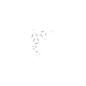 COc1cc(OC)c(-c2nccc3cc(S(=O)(=O)Nc4ncns4)ccc23)c(OC)c1